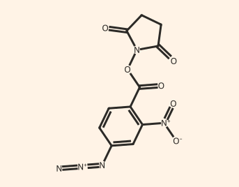 [N-]=[N+]=Nc1ccc(C(=O)ON2C(=O)CCC2=O)c([N+](=O)[O-])c1